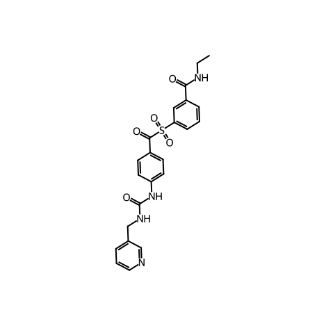 CCNC(=O)c1cccc(S(=O)(=O)C(=O)c2ccc(NC(=O)NCc3cccnc3)cc2)c1